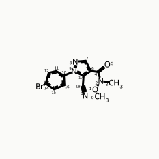 CON(C)C(=O)c1cnn(-c2ccc(Br)cc2)c1C#N